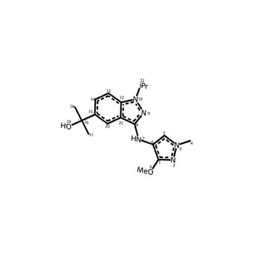 COc1nn(C)cc1Nc1nn(C(C)C)c2ccc(C(C)(C)O)cc12